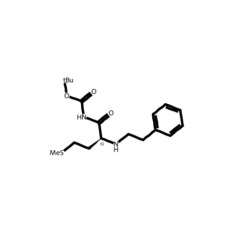 CSCC[C@H](NCCc1ccccc1)C(=O)NC(=O)OC(C)(C)C